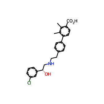 Cc1c(C(=O)O)ccc(-c2ccc(CCNC[C@H](O)c3cccc(Cl)c3)cc2)c1C